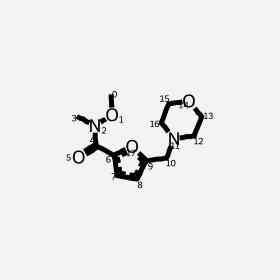 CON(C)C(=O)c1ccc(CN2CCOCC2)o1